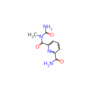 CN(C(N)=O)C(=O)c1cc[c]c(C(N)=O)n1